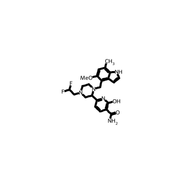 COc1cc(C)c2[nH]ccc2c1CN1CCN(CC(F)F)CC1c1ccc(C(N)=O)c(O)n1